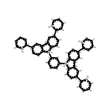 c1ccc(-c2ccc3c(c2)c2cc(-c4ccccn4)ccc2n3-c2cccc(-n3c4ccc(-c5ccccn5)cc4c4cc(-c5ccccn5)ccc43)c2)nc1